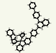 c1ccc(-c2ccc(-c3nc(-c4ccc(-c5ccc6c(c5)C5(c7ccccc7-6)c6ccccc6-n6c7ccccc7c7cccc5c76)cc4)nc4ccccc34)cc2)cc1